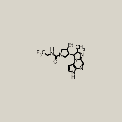 CC[C@@H]1CN(C(=O)NCC(F)(F)F)C[C@@H]1C1C(C)N=C2C=Nc3[nH]ccc3N21